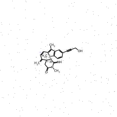 C=C(/C=C\c1sc2ccc(C#CCO)cc2c1C)[C@]1(C)CC(=O)N(C)C(=N)N1